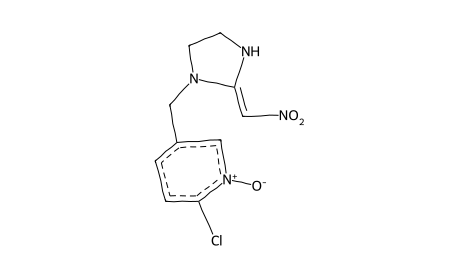 O=[N+]([O-])C=C1NCCN1Cc1ccc(Cl)[n+]([O-])c1